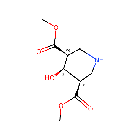 COC(=O)[C@H]1CNC[C@@H](C(=O)OC)[C@H]1O